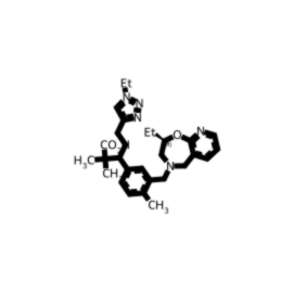 CC[C@@H]1CN(Cc2cc(C(CCc3cn(CC)nn3)C(C)(C)C(=O)O)ccc2C)Cc2cccnc2O1